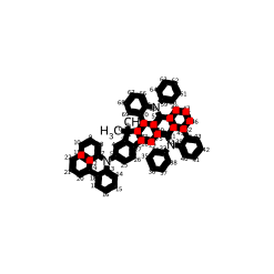 CC1(C)c2cc(N(c3ccccc3)c3ccccc3-c3ccccc3)ccc2-c2cc3c(N(c4ccccc4)c4ccccc4-c4ccccc4)c4ccccc4c(N(c4ccccc4)c4ccccc4-c4ccccc4)c3cc21